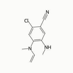 C=CN(C)c1cc(Cl)c(C#N)cc1NC